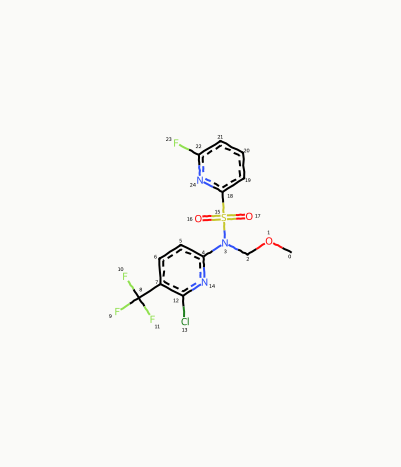 COCN(c1ccc(C(F)(F)F)c(Cl)n1)S(=O)(=O)c1cccc(F)n1